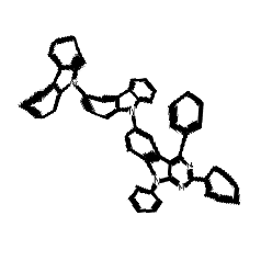 c1ccc(-c2nc(-c3ccccc3)c3c4cc(-n5c6ccccc6c6cc(-n7c8ccccc8c8ccccc87)ccc65)ccc4n(-c4ccccc4)c3n2)cc1